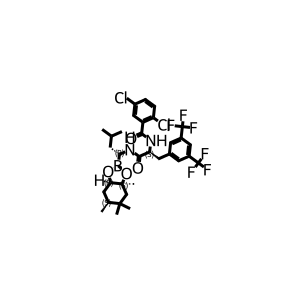 CC(C)C[C@H](NC(=O)[C@H](Cc1cc(C(F)(F)F)cc(C(F)(F)F)c1)NC(=O)c1cc(Cl)ccc1Cl)B1O[C@@H]2C[C@H](C)C(C)(C)C[C@]2(C)O1